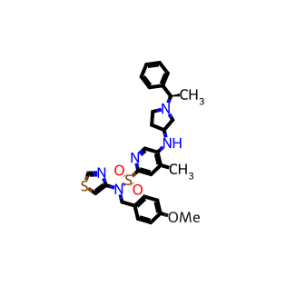 COc1ccc(CN(c2cscn2)S(=O)(=O)c2cc(C)c(NC3CCN([C@H](C)c4ccccc4)C3)cn2)cc1